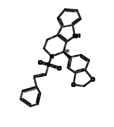 O=S(=O)(C=Cc1ccccc1)N1CCc2c([nH]c3ccccc23)[C@H]1c1ccc2c(c1)OCO2